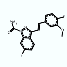 COc1cc(C=Cc2nn(C(N)=O)c3cc(F)[c]cc23)ccc1F